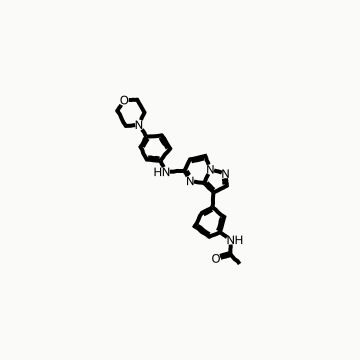 CC(=O)Nc1cccc(-c2cnn3ccc(Nc4ccc(N5CCOCC5)cc4)nc23)c1